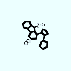 [Cl-].[Cl-].[Zr+2][CH]1c2ccccc2-c2cccc(C3=C(c4ccccc4)C=CC3)c21